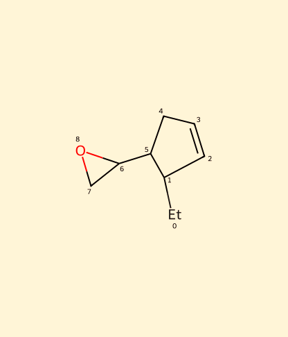 CCC1C=CCC1C1CO1